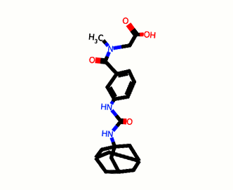 CN(CC(=O)O)C(=O)c1cccc(NC(=O)NC23CC4CC(CC(C4)C2)C3)c1